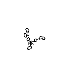 c1ccc(-c2nc(-c3ccc(-c4ccc5ccccc5c4)cc3)cc(-c3ccc(-c4cccc5c4oc4ccccc45)cc3)n2)cc1